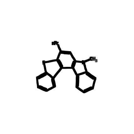 CCCc1cc2c(c3ccccc3n2C)c2c1sc1ccccc12